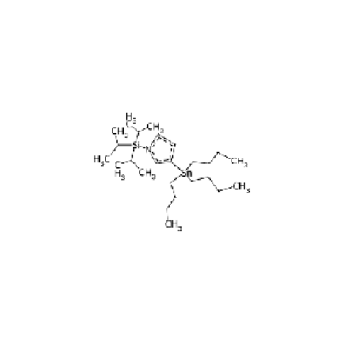 CCC[CH2][Sn]([CH2]CCC)([CH2]CCC)[c]1ccn([Si](C(C)C)(C(C)C)C(C)C)c1